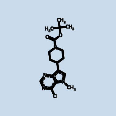 Cn1cc(C2CCN(C(=O)OC(C)(C)C)CC2)c2ncnc(Cl)c21